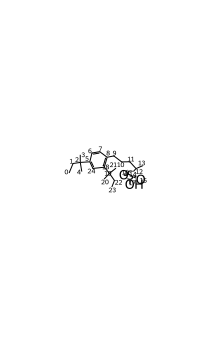 CCC(C)(C)c1ccc(CCCC(C)S(=O)(=O)O)c(C(C)(C)CC)c1